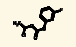 CC(Cl)OC(=O)Oc1cccc(F)c1